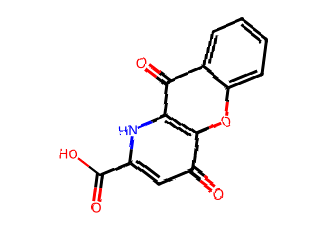 O=C(O)c1cc(=O)c2oc3ccccc3c(=O)c2[nH]1